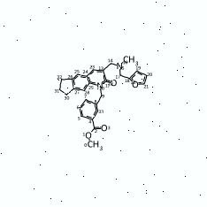 COC(=O)c1cccc(Cn2c(=O)c(CN(C)Cc3ccco3)cc3cc4c(cc32)CCC4)c1